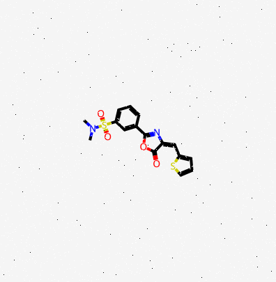 CN(C)S(=O)(=O)c1cccc(C2=NC(=Cc3cccs3)C(=O)O2)c1